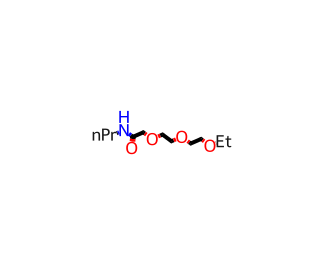 CCCNC(=O)COCCOCCOCC